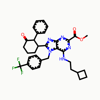 COC(=O)c1nc(NCCC2CCC2)c2c(n1)nc(C1CCCC(=O)C1c1ccccc1)n2Cc1ccc(C(F)(F)F)cc1